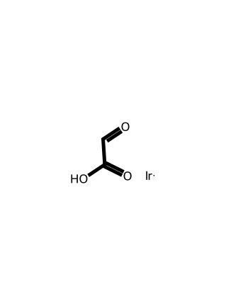 O=CC(=O)O.[Ir]